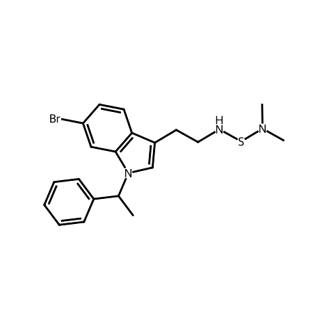 CC(c1ccccc1)n1cc(CCNSN(C)C)c2ccc(Br)cc21